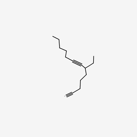 [C]#CCCCC(C#CCCCCC)CC